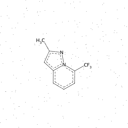 Cc1cc2cccc(C(F)(F)F)n2n1